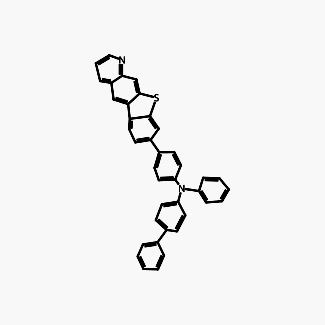 c1ccc(-c2ccc(N(c3ccccc3)c3ccc(-c4ccc5c(c4)sc4cc6ncccc6cc45)cc3)cc2)cc1